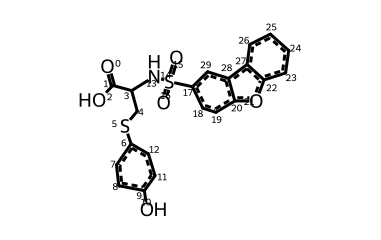 O=C(O)C(CSc1ccc(O)cc1)NS(=O)(=O)c1ccc2oc3ccccc3c2c1